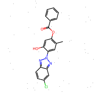 Cc1cc(-n2nc3ccc(Cl)cc3n2)c(O)cc1OC(=O)c1ccccc1